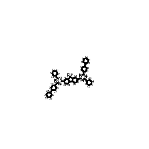 FC1(F)c2cc(-c3nc(-c4ccccc4)nc(-c4ccc(-c5ccccc5)cc4)n3)ccc2-c2ccc(-c3nc(-c4ccccc4)nc(-c4ccc(-c5ccccc5)cc4)n3)cc21